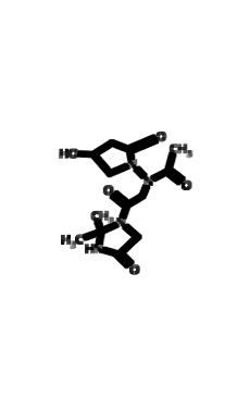 CC(=O)N(CC(=O)N1CC(=O)NC1(C)C)N1CC(O)CC1=O